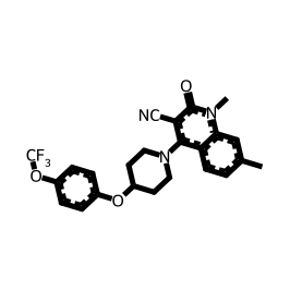 Cc1ccc2c(N3CCC(Oc4ccc(OC(F)(F)F)cc4)CC3)c(C#N)c(=O)n(C)c2c1